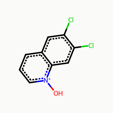 O[n+]1cccc2cc(Cl)c(Cl)cc21